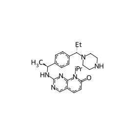 CC[C@@H](c1ccc([C@H](C)Nc2ncc3ccc(=O)n(C(C)C)c3n2)cc1)N1CCNCC1